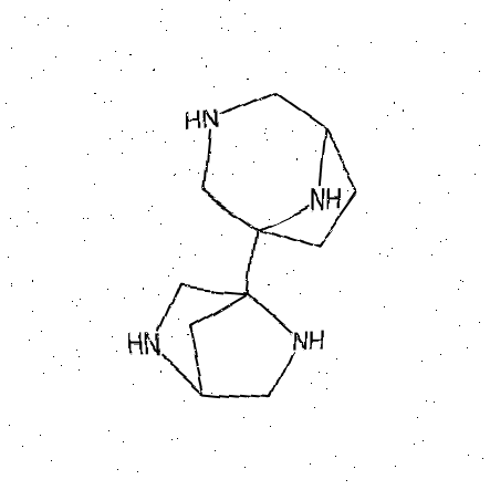 C1NC2(C34CCC(CNC3)N4)CNC1C2